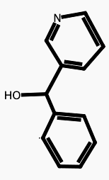 OC(c1[c]cccc1)c1cccnc1